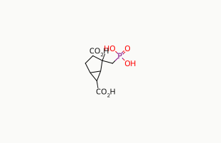 O=C(O)C1C2CCC(CP(=O)(O)O)(C(=O)O)C21